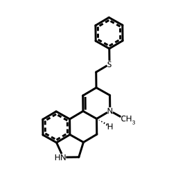 CN1CC(CSc2ccccc2)C=C2c3cccc4c3C(CN4)C[C@@H]21